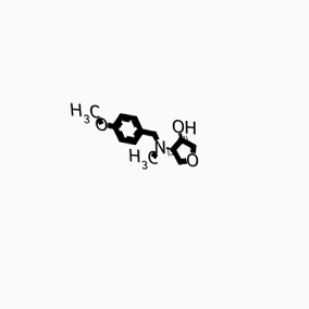 COc1ccc(CN(C)[C@H]2COC[C@@H]2O)cc1